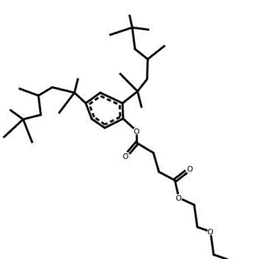 CCOCCOC(=O)CCC(=O)Oc1ccc(C(C)(C)CC(C)CC(C)(C)C)cc1C(C)(C)CC(C)CC(C)(C)C